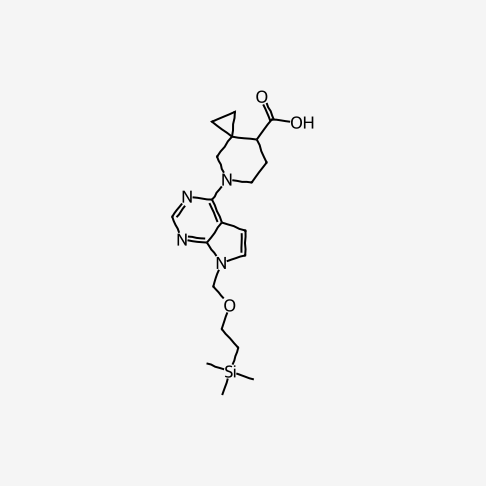 C[Si](C)(C)CCOCn1ccc2c(N3CCC(C(=O)O)C4(CC4)C3)ncnc21